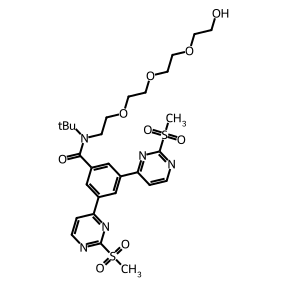 CC(C)(C)N(CCOCCOCCOCCO)C(=O)c1cc(-c2ccnc(S(C)(=O)=O)n2)cc(-c2ccnc(S(C)(=O)=O)n2)c1